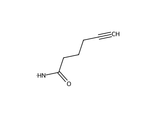 C#CCCCC([NH])=O